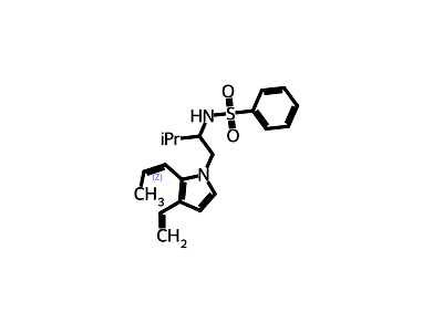 C=Cc1ccn(CC(NS(=O)(=O)c2ccccc2)C(C)C)c1/C=C\C